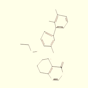 CCSN[C@H]1CCc2nc[nH]c(=O)c2[C@H]1Cc1cccc(-c2cccc(F)c2F)c1